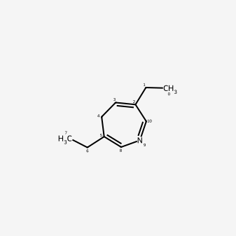 CCC1=CCC(CC)=CN=C1